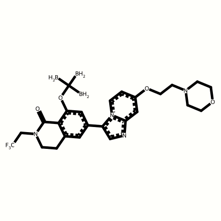 BC(B)(B)Oc1cc(-c2cnc3cc(OCCN4CCOCC4)ccn23)cc2c1C(=O)N(CC(F)(F)F)CC2